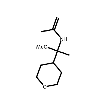 C=C(C)NC(C)(OC)C1CCOCC1